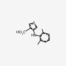 Cc1cccc(C)c1Nc1cscc1C(=O)O